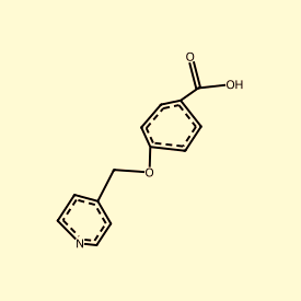 O=C(O)c1ccc(OCc2ccncc2)cc1